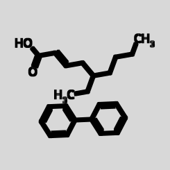 CCCCC(CC)CC=CC(=O)O.c1ccc(-c2ccccc2)cc1